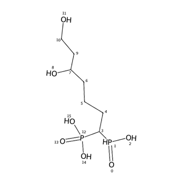 O=[PH](O)C(CCCC(O)CCO)P(=O)(O)O